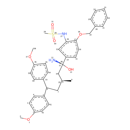 COc1ccc(C(C[C@H](C)C[C@@](N)(O)c2ccc(OCc3ccccc3)c(NS(C)(=O)=O)c2)c2ccc(OC)cc2)cc1